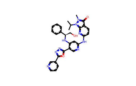 CC(C)n1c2nc(Nc3cc(N[C@H](CO)c4ccccc4)c(-c4nnc(-c5cccnc5)o4)cn3)ccc2c(=O)n1C